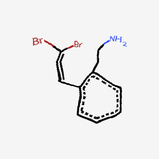 NCc1ccccc1C=C(Br)Br